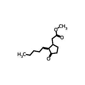 CCCC/C=C1\C(=O)CCC1CC(=O)OC